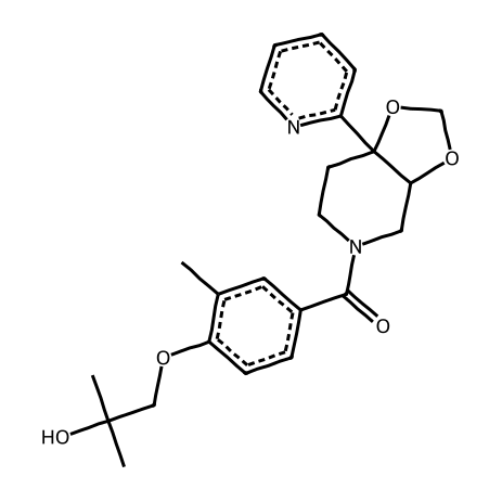 Cc1cc(C(=O)N2CCC3(c4ccccn4)OCOC3C2)ccc1OCC(C)(C)O